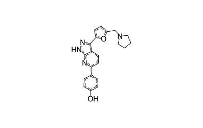 Oc1ccc(-c2ccc3c(-c4ccc(CN5CCCC5)o4)n[nH]c3n2)cc1